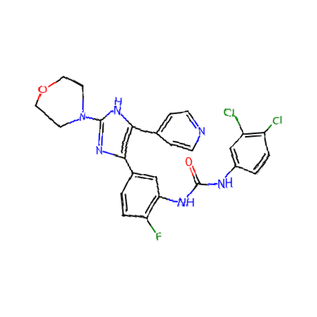 O=C(Nc1ccc(Cl)c(Cl)c1)Nc1cc(-c2nc(N3CCOCC3)[nH]c2-c2ccncc2)ccc1F